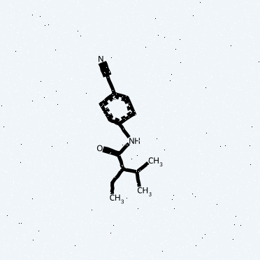 CCC(C(=O)Nc1ccc(C#N)cc1)C(C)C